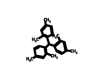 Cc1ccc(C(c2ccc(C)cc2C)c2ccc(C)cc2C)c(C)c1